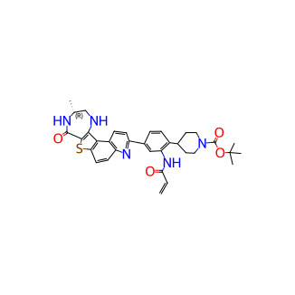 C=CC(=O)Nc1cc(-c2ccc3c(ccc4sc5c(c43)NC[C@@H](C)NC5=O)n2)ccc1C1CCN(C(=O)OC(C)(C)C)CC1